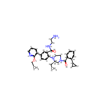 CCOc1ncccc1-c1ccc(N2CCN(C(=O)c3ccccc3C3CC3)C[C@H]2CC)c(C(=O)NCCN)c1